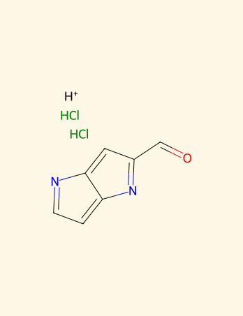 Cl.Cl.O=CC1=NC2=CC=NC2=C1.[H+]